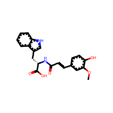 COc1cc(C=CC(=O)N[C@@H](Cc2c[nH]c3ccccc23)C(=O)O)ccc1O